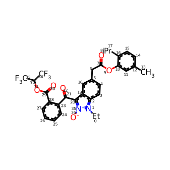 CCn1c2ccc(CC(=O)Oc3cc(C)ccc3C(C)C)cc2c(C(=O)c2ccccc2C(=O)OC(C(F)(F)F)C(F)(F)F)[n+]1[O-]